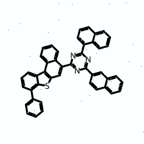 c1ccc(-c2cccc3c2sc2cc(-c4nc(-c5ccc6ccccc6c5)nc(-c5cccc6ccccc56)n4)c4ccccc4c23)cc1